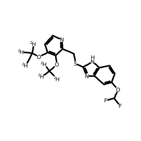 [2H]C([2H])([2H])Oc1ccnc(CSc2nc3cc(OC(F)F)ccc3[nH]2)c1OC([2H])([2H])[2H]